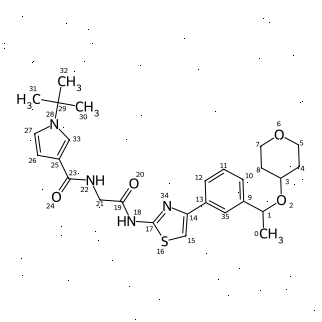 CC(OC1CCOCC1)c1cccc(-c2csc(NC(=O)CNC(=O)c3ccn(C(C)(C)C)c3)n2)c1